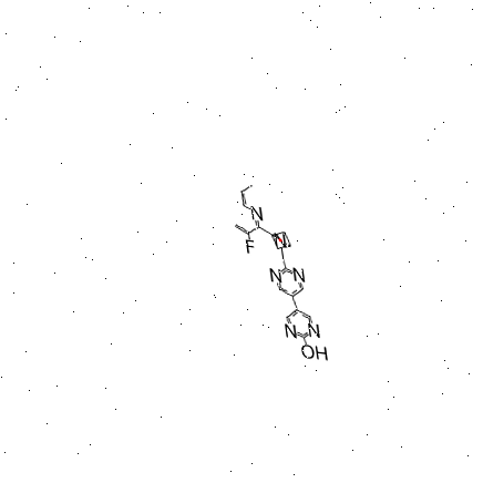 C=C(F)/C(=N\C=C/C)C12CC(C1)N(c1ncc(-c3cnc(O)nc3)cn1)C2